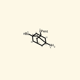 CCCCCC12CC3CC(N)(CC(CCCC)(C3)C1)C2